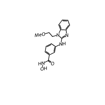 COCCn1c(Nc2cccc(C(=O)NO)c2)nc2ccccc21